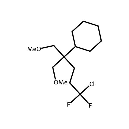 COCC(CCC(F)(F)Cl)(COC)C1CCCCC1